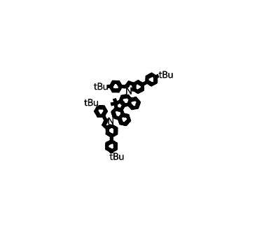 CC(C)(C)c1ccc(-c2ccc3c(c2)cc(-c2ccc(C(C)(C)C)cc2)n3-c2cc3c(c4ccccc24)-c2c(cc(-n4c(-c5ccc(C(C)(C)C)cc5)cc5cc(-c6ccc(C(C)(C)C)cc6)ccc54)c4ccccc24)C3(C)C)cc1